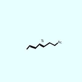 CC=CC=CCCC(C)=O.[Ti]